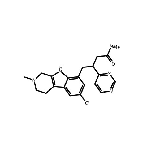 CNC(=O)CC(Cc1cc(Cl)cc2c3c([nH]c12)CN(C)CC3)c1ccncn1